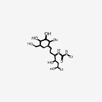 CCNC(=O)NC(CCC1CC(CO)C(O)C(O)C1O)C(O)CC(O)CC